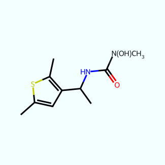 Cc1cc(C(C)NC(=O)N(C)O)c(C)s1